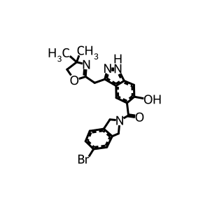 CC1(C)COC(Cc2n[nH]c3cc(O)c(C(=O)N4Cc5ccc(Br)cc5C4)cc23)=N1